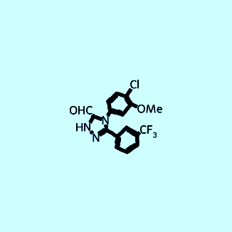 COc1cc(N2C(c3cccc(C(F)(F)F)c3)=NNC2C=O)ccc1Cl